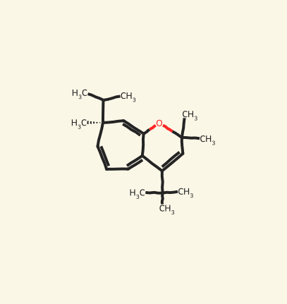 CC(C)[C@]1(C)C=CC=C2C(=C1)OC(C)(C)C=C2C(C)(C)C